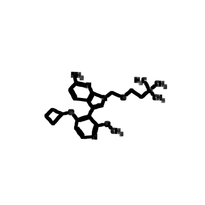 COc1nccc(OC2CCC2)c1-c1cn(COCC[Si](C)(C)C)c2nc(N)ccc12